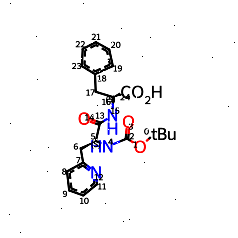 CC(C)(C)OC(=O)N[C@@H](Cc1ccccn1)C(=O)N[C@@H](Cc1ccccc1)C(=O)O